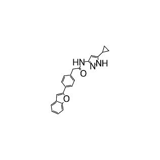 O=C(Cc1ccc(-c2cc3ccccc3o2)cc1)Nc1cc(C2CC2)[nH]n1